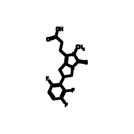 Cn1c(CCC(=O)O)c2n(c1=S)CC(c1c(F)ccc(F)c1F)C2